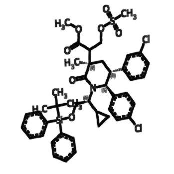 COC(=O)C(COS(C)(=O)=O)[C@@]1(C)C[C@H](c2cccc(Cl)c2)[C@@H](c2ccc(Cl)cc2)N([C@H](CO[Si](c2ccccc2)(c2ccccc2)C(C)(C)C)C2CC2)C1=O